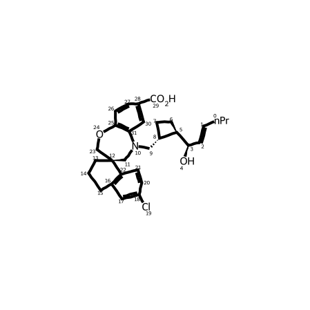 CCC/C=C/[C@@H](O)[C@@H]1CC[C@H]1CN1C[C@@]2(CCCc3cc(Cl)ccc32)COc2ccc(C(=O)O)cc21